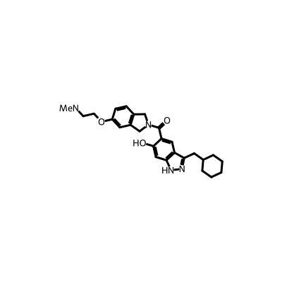 CNCCOc1ccc2c(c1)CN(C(=O)c1cc3c(CC4CCCCC4)n[nH]c3cc1O)C2